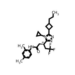 CCCC1CC(c2nnc([C@H](CC(=O)Nc3ccc(C)cc3C)CC(F)(F)F)n2C2CC2)C1